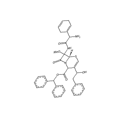 COC1(NC(=O)C(N)C2=CCC=CC2)C(=O)N2C(C(=O)OC(c3ccccc3)c3ccccc3)C(C(O)Cc3ccccc3)=CS[C@H]21